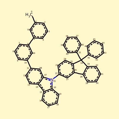 Cc1cccc(-c2cccc(-c3ccc4c5ccccc5n(-c5ccc6c(c5)-c5ccccc5C6(c5ccccc5)c5ccccc5)c4c3)c2)c1